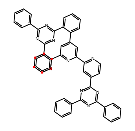 c1ccc(-c2nc(-c3ccccc3)nc(-c3ccnc(-c4cc(-c5ccccc5-c5nc(-c6ccccc6)nc(-c6ccccc6)n5)cc(-c5ccccn5)n4)c3)n2)cc1